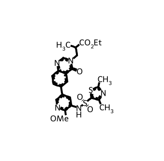 CCOC(=O)C(C)Cn1cnc2ccc(-c3cnc(OC)c(NS(=O)(=O)c4sc(C)nc4C)c3)cc2c1=O